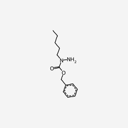 CCCCCN(N)C(=O)OCc1ccccc1